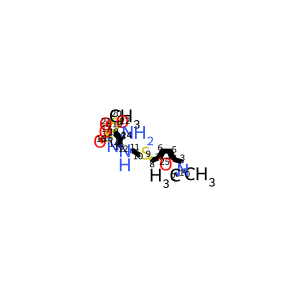 CN(C)Cc1ccc(CSCCNC2=NS(=O)(=O)C(S(C)(=O)=O)=C2N)o1